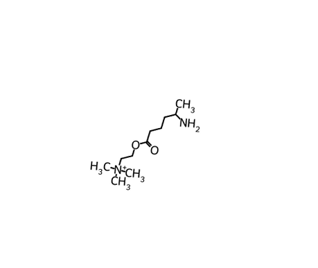 CC(N)CCCC(=O)OCC[N+](C)(C)C